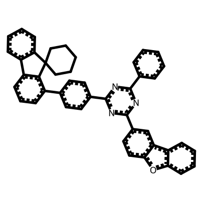 c1ccc(-c2nc(-c3ccc(-c4cccc5c4C4(CCCCC4)c4ccccc4-5)cc3)nc(-c3ccc4oc5ccccc5c4c3)n2)cc1